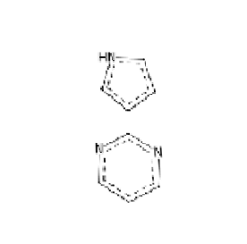 c1cc[nH]c1.c1cncnc1